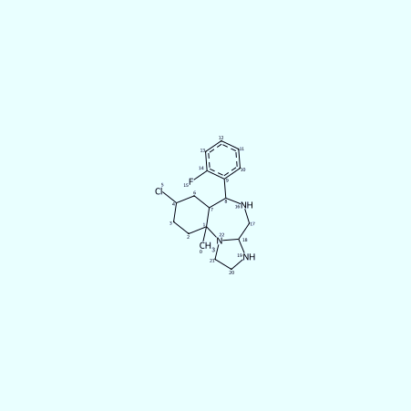 CC12CCC(Cl)CC1C(c1ccccc1F)NCC1NCCN12